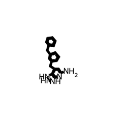 Nc1cc(Cc2cccc(Cc3ccccc3)c2)c2c(n1)NNN2